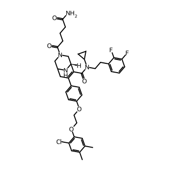 Cc1cc(Cl)c(OCCOc2ccc(C3=C(C(=O)N(CCc4cccc(F)c4F)C4CC4)[C@H]4CN(C(=O)CCCC(N)=O)CC(C3)N4)cc2)cc1C